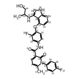 Cc1ccc(C(=O)Nc2ccc(Oc3ccnc4[nH]nc(NC(C)CO)c34)c(F)c2)c(=O)n1-c1ccc(F)cc1